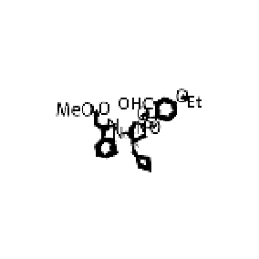 CCOc1ccc(S(=O)(=O)N2C[C@@H](CC3CCC3)[C@@H](n3nc(CC(=O)OC)c4ccccc43)C2)c(C=O)c1